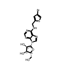 OC[C@H]1O[C@@H](n2cnc3c(NCc4cc(Br)cs4)ncnc32)[C@H](O)[C@@H]1O